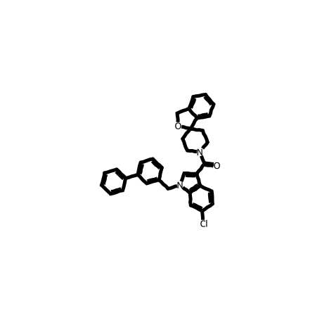 O=C(c1cn(Cc2cccc(-c3ccccc3)c2)c2cc(Cl)ccc12)N1CCC2(CC1)OCc1ccccc12